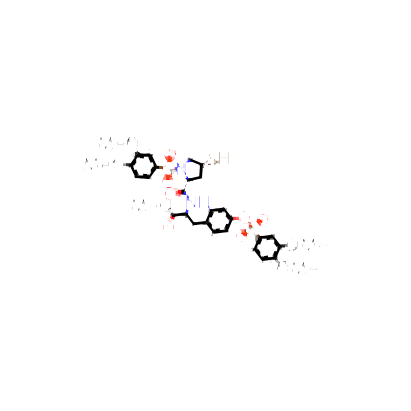 COC(=O)C(Cc1ccc(OS(=O)(=O)c2ccc(OC)c(OC)c2)cc1)NC(=O)[C@@H]1C[C@H](S)CN1S(=O)(=O)c1ccc(OC)c(OC)c1